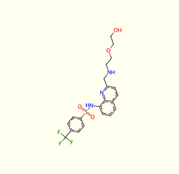 O=S(=O)(Nc1cccc2ccc(CNCCOCCO)nc12)c1ccc(C(F)(F)F)cc1